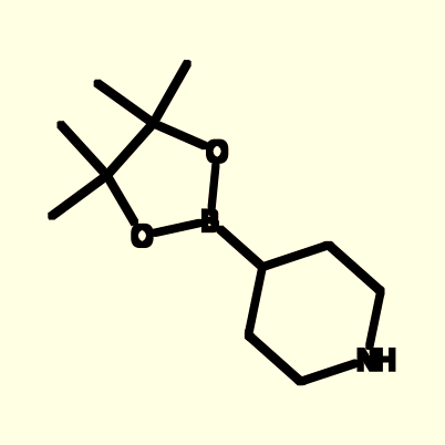 CC1(C)OB(C2CCNCC2)OC1(C)C